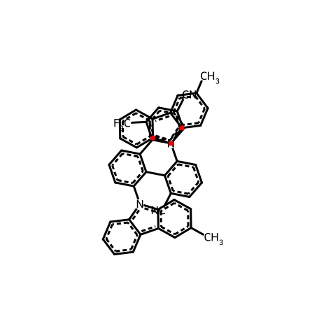 Cc1ccc2c(c1)c1ccccc1n2-c1cccc(C#N)c1-c1c(-c2ccc(C#N)cc2C(F)(F)F)cccc1-n1c2ccccc2c2cc(C)ccc21